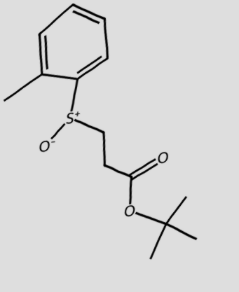 Cc1ccccc1[S+]([O-])CCC(=O)OC(C)(C)C